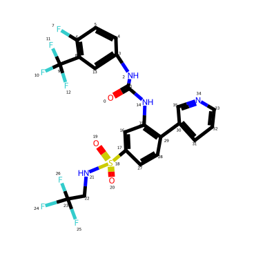 O=C(Nc1ccc(F)c(C(F)(F)F)c1)Nc1cc(S(=O)(=O)NCC(F)(F)F)ccc1-c1cccnc1